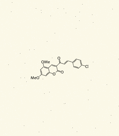 COc1cc(OC)c2cc(C(=O)/C=C/c3ccc(Cl)cc3)c(=O)oc2c1